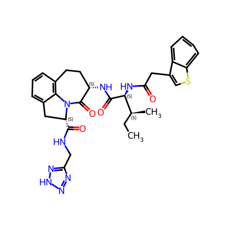 CC[C@H](C)[C@H](NC(=O)Cc1csc2ccccc12)C(=O)N[C@H]1CCc2cccc3c2N(C1=O)[C@H](C(=O)NCc1nn[nH]n1)C3